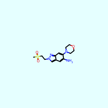 CS(=O)(=O)CCn1cc2cc(N)c(N3CCOCC3)cc2n1